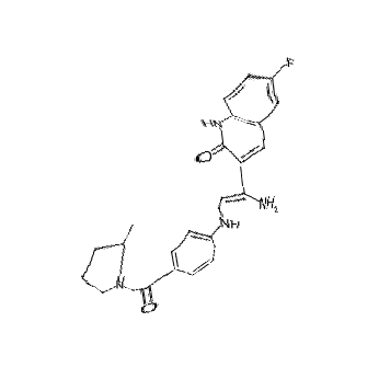 CC1CCCN1C(=O)c1ccc(N/C=C(\N)c2cc3cc(F)ccc3[nH]c2=O)cc1